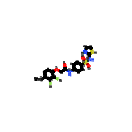 COc1ccc(OCC(=O)Nc2ccc(S(=O)(=O)Nc3nccs3)cc2)c(F)c1F